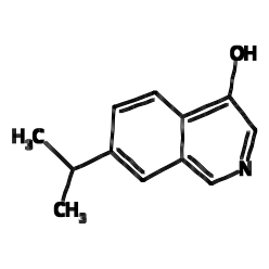 CC(C)c1ccc2c(O)cncc2c1